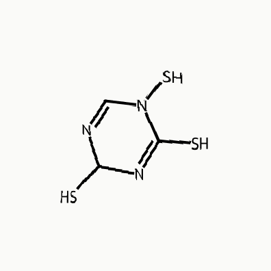 SC1=NC(S)N=CN1S